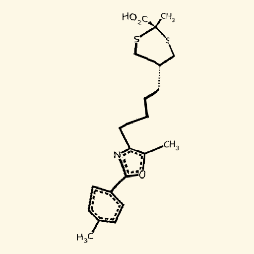 Cc1ccc(-c2nc(CCCC[C@H]3CS[C@](C)(C(=O)O)SC3)c(C)o2)cc1